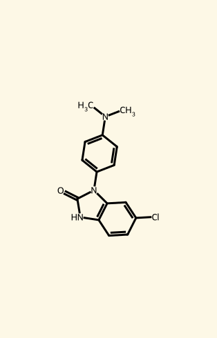 CN(C)c1ccc(-n2c(=O)[nH]c3ccc(Cl)cc32)cc1